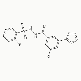 O=C(NNS(=O)(=O)c1ccccc1F)c1cc(Cl)cc(-c2cccs2)c1